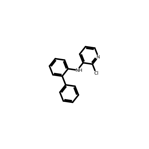 Clc1ncccc1Nc1ccccc1-c1ccccc1